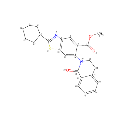 COC(=O)c1cc2nc(C3CCCCC3)sc2cc1N1CCc2ccccc2C1=O